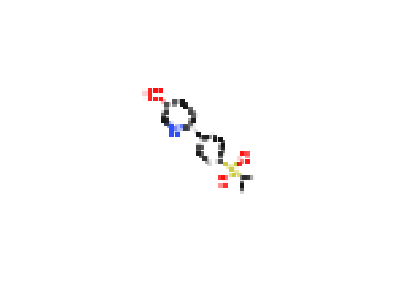 CC(C)S(=O)(=O)c1ccc(-c2ccc(O)cn2)cc1